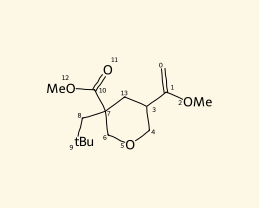 C=C(OC)C1COCC(CC(C)(C)C)(C(=O)OC)C1